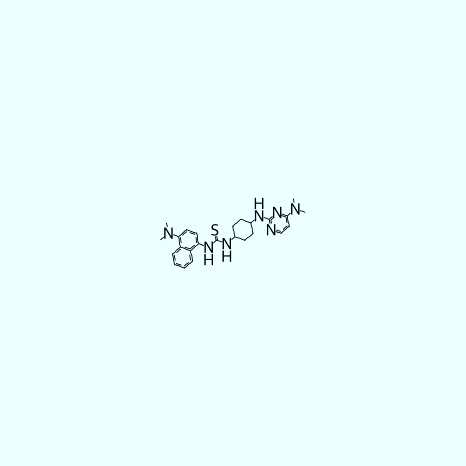 CN(C)c1ccnc(NC2CCC(NC(=S)Nc3ccc(N(C)C)c4ccccc34)CC2)n1